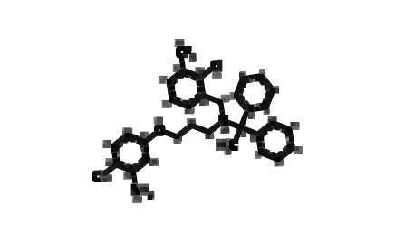 CC(c1ccccc1)(c1ccccc1)N(CCCOc1ccc(Cl)c(N)c1)Cc1cccc(C(F)(F)F)c1Cl